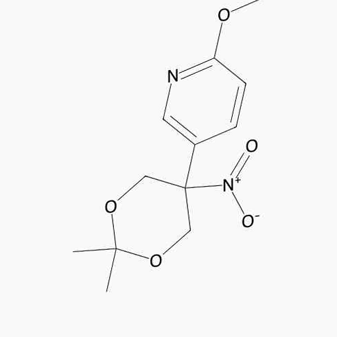 COc1ccc(C2([N+](=O)[O-])COC(C)(C)OC2)cn1